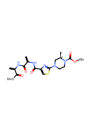 C=C(NC(=O)c1csc(N2CCN(C(=O)OC(C)(C)C)[C@H](C)C2)n1)C(=O)NC(=C)C(=O)OC